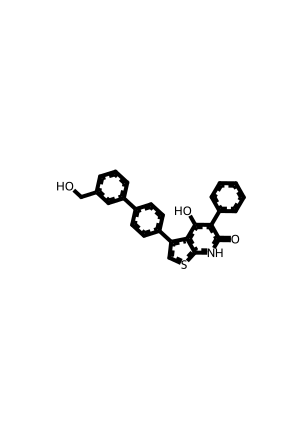 O=c1[nH]c2scc(-c3ccc(-c4cccc(CO)c4)cc3)c2c(O)c1-c1ccccc1